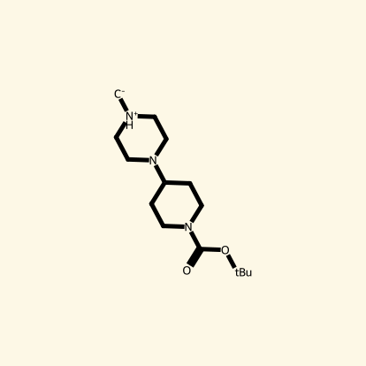 [CH2-][NH+]1CCN(C2CCN(C(=O)OC(C)(C)C)CC2)CC1